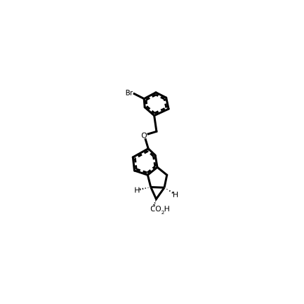 O=C(O)[C@H]1[C@@H]2Cc3cc(OCc4cccc(Br)c4)ccc3[C@@H]21